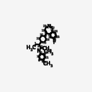 CCC(/C(C)=N/c1ccc(C)cc1C)C1CCC(C2=CC=NSc3ccc(F)cc32)CC1